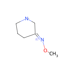 CO/N=C1\CCC[N]C1